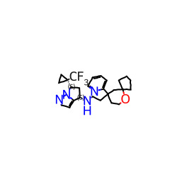 FC(F)(F)C1([C@@H]2C[C@H](NCCC3(c4ccccn4)CCOC4(CCCC4)C3)c3ccnn32)CC1